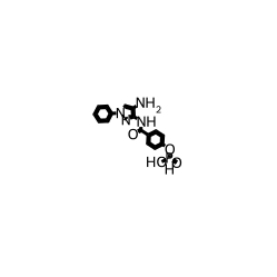 Nc1cn(-c2ccccc2)nc1NC(=O)c1ccc(O[PH](=O)O)cc1